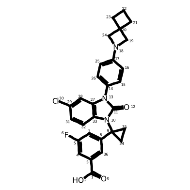 O=C(O)c1cc(F)cc(C2(n3c(=O)n(-c4ccc(N5CC6(CCC6)C5)cc4)c4cc(Cl)ccc43)CC2)c1